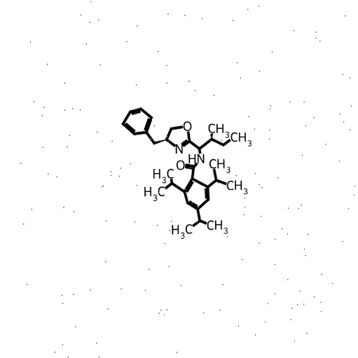 CC[C@H](C)C(NC(=O)c1c(C(C)C)cc(C(C)C)cc1C(C)C)C1=N[C@@H](Cc2ccccc2)CO1